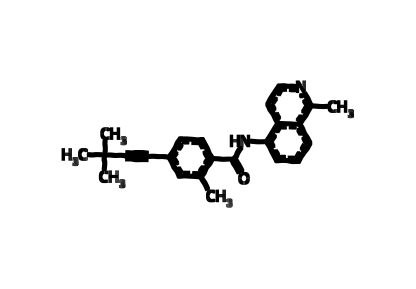 Cc1cc(C#CC(C)(C)C)ccc1C(=O)Nc1cccc2c(C)nccc12